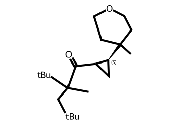 CC(C)(C)CC(C)(C(=O)C1C[C@@H]1C1(C)CCOCC1)C(C)(C)C